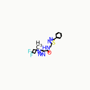 CC1(n2cc(C(=O)NCc3nnc(-c4ccccc4)s3)nn2)CC(F)(F)C1